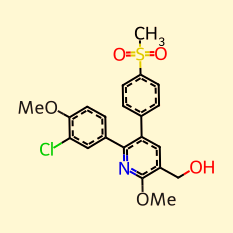 COc1ccc(-c2nc(OC)c(CO)cc2-c2ccc(S(C)(=O)=O)cc2)cc1Cl